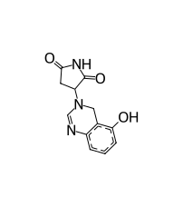 O=C1CC(N2C=Nc3cccc(O)c3C2)C(=O)N1